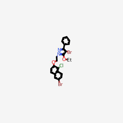 CCOc1c(Br)c(-c2ccccc2)nn1CCOc1ccc2cc(Br)ccc2c1Cl